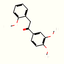 COc1ccccc1CC(=O)c1ccc(OC)c(OC)c1